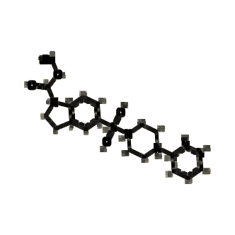 CC(C)(C)OC(=O)N1CCc2cc(S(=O)(=O)N3CCN(c4cccnn4)CC3)ccc21